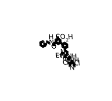 CCn1nc(-c2cccc(-c3cc(C(=O)O)cc(C(=O)NCCN4CCCCC4)c3)c2)cc(NC(=O)Nc2c(Cl)cncc2Cl)c1=O